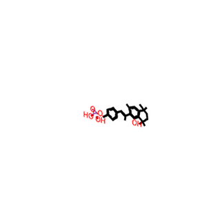 CC(=Cc1ccc(COP(=O)(O)O)cc1)c1c(C)cc2c(c1O)C(C)(C)CCC2(C)C